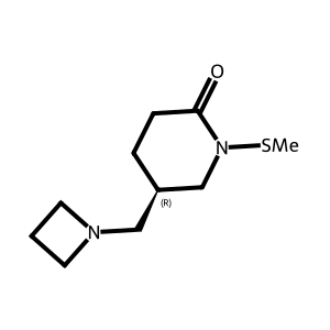 CSN1C[C@@H](CN2CCC2)CCC1=O